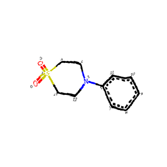 O=S1(=O)CCN(c2[c]cccc2)CC1